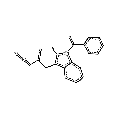 Cc1c(CC(=O)C=[N+]=[N-])c2ccccc2n1C(=O)c1ccccc1